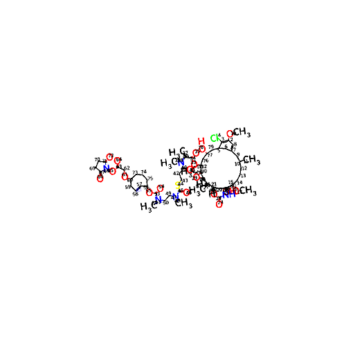 COC1=C(Cl)C2CC(=C1)CC(C)CCC[C@@H](OC)[C@@]1(O)C[C@H](OC(=O)N1)[C@@H](C)[C@@H]1O[C@@]1(C)[C@@H](OC(=O)[C@H](C)N(C)C(=O)CCSC(=O)N(C)CCN(C)C(=O)OC1/C=C/CC(OCC(=O)ON3C(=O)CCC3=O)CCC1)CC(O)C2